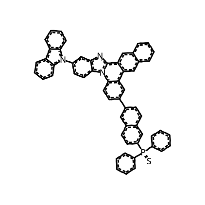 S=P(c1ccccc1)(c1ccccc1)c1ccc2cc(-c3ccc4c(c3)c3cc5ccccc5cc3c3nc5cc(-n6c7ccccc7c7ccccc76)ccc5n43)ccc2c1